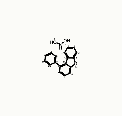 OBO.c1ccc(-c2cccc3oc4ccccc4c23)cc1